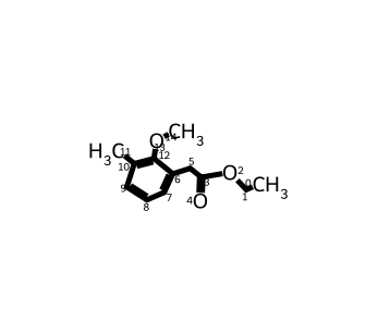 CCOC(=O)Cc1cccc(C)c1OC